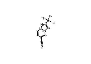 N#Cc1ccc2nc(C(F)(F)F)cn2c1